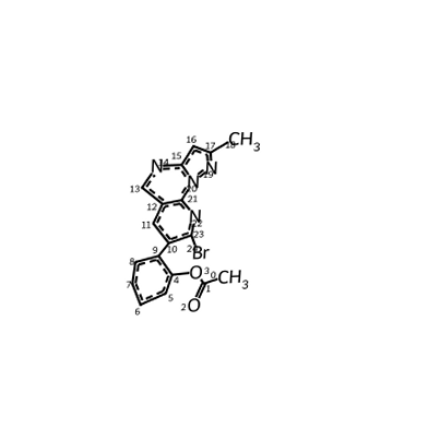 CC(=O)Oc1ccccc1-c1cc2cnc3cc(C)nn3c2nc1Br